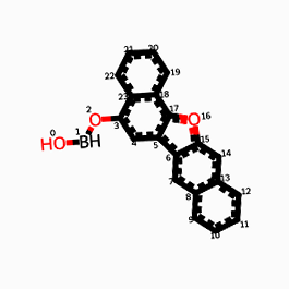 OBOc1cc2c3cc4ccccc4cc3oc2c2ccccc12